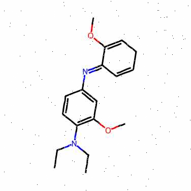 CCN(CC)c1ccc(N=C2C=CCC=C2OC)cc1OC